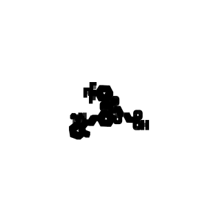 Cc1cccc2c1c(/C=C/c1ccc3c(c1)N(S(=O)(=O)c1cccc(C(F)(F)F)c1)C[C@H](CCC(=O)O)O3)nn2C